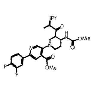 COC(=O)NC1CCN(c2cnc(-c3ccc(F)c(F)c3)cc2C(=O)OC)CC1C(=O)C(C)C(C)C